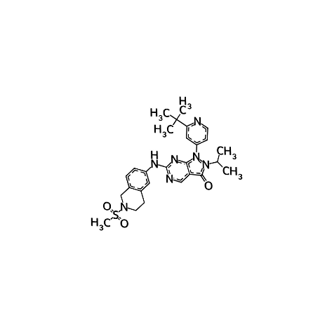 CC(C)n1c(=O)c2cnc(Nc3ccc4c(c3)CCN(S(C)(=O)=O)C4)nc2n1-c1ccnc(C(C)(C)C)c1